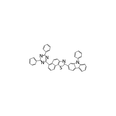 c1ccc(-c2nc(-c3ccccc3)nc(-c3cccc4c3ccc3nc(-c5ccc6c7ccccc7n(-c7ccccc7)c6c5)sc34)n2)cc1